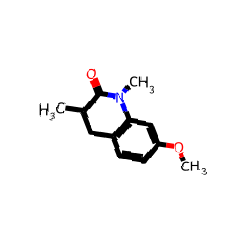 COc1ccc2c(c1)N(C)C(=O)C(C)C2